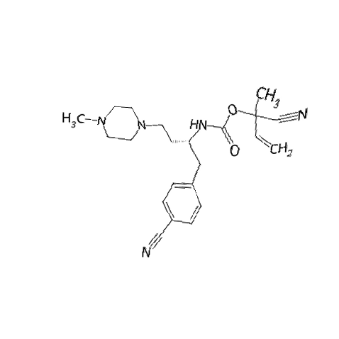 C=CC(C)(C#N)OC(=O)N[C@@H](CCN1CCN(C)CC1)Cc1ccc(C#N)cc1